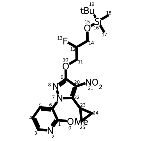 COc1ncccc1-n1nc(OCC(F)CO[Si](C)(C)C(C)(C)C)c([N+](=O)[O-])c1C1CC1